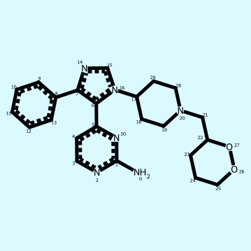 Nc1nccc(-c2c(-c3ccccc3)ncn2C2CCN(CC3CCCOO3)CC2)n1